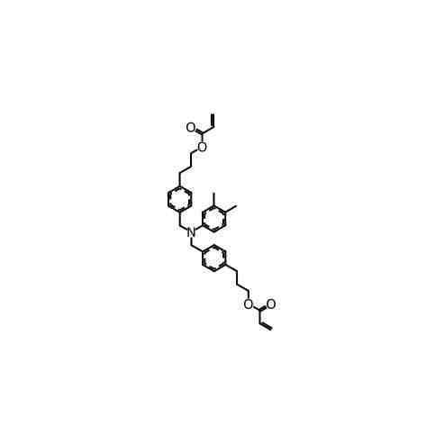 C=CC(=O)OCCCc1ccc(CN(Cc2ccc(CCCOC(=O)C=C)cc2)c2ccc(C)c(C)c2)cc1